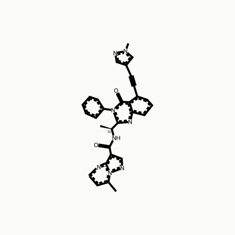 Cc1ccnc2c(C(=O)N[C@@H](C)c3nc4cccc(C#Cc5cnn(C)c5)c4c(=O)n3-c3ccccc3)cnn12